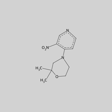 CC1(C)CN(c2ccncc2[N+](=O)[O-])CCO1